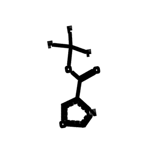 O=C(OC(F)(F)F)c1cocn1